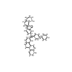 C1=Cc2c(ccc3c2ccc2ccc(N(c4ccc(-c5ccccc5)cc4)c4ccc5c(c4)oc4c6c(ccc45)C=CCC6)cc23)CC1